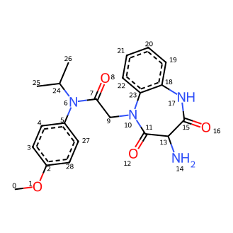 COc1ccc(N(C(=O)CN2C(=O)C(N)C(=O)Nc3ccccc32)C(C)C)cc1